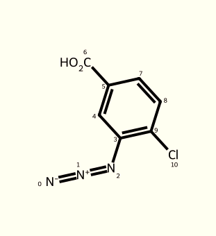 [N-]=[N+]=Nc1cc(C(=O)O)ccc1Cl